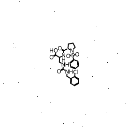 O=C(NCc1ccccc1Cl)NCC(NC(=O)C1CCCN1S(=O)(=O)c1ccccc1)C(=O)O